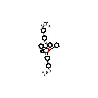 FC(F)(F)Oc1ccc(-c2ccc(N3c4ccccc4C4(c5ccccc53)c3ccccc3N(c3ccc(-c5ccc(OC(F)(F)F)cc5)cc3)c3ccc(-c5ccccc5)cc34)cc2)cc1